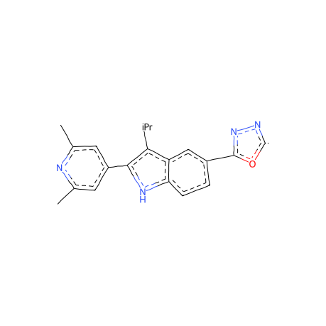 Cc1cc(-c2[nH]c3ccc(-c4nn[c]o4)cc3c2C(C)C)cc(C)n1